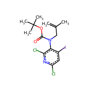 C=C(C)CN(C(=O)OC(C)(C)C)c1c(I)cc(Cl)nc1Cl